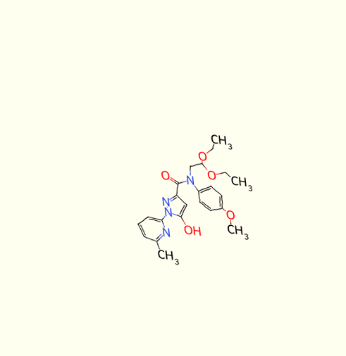 CCOC(CN(C(=O)c1cc(O)n(-c2cccc(C)n2)n1)c1ccc(OC)cc1)OCC